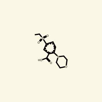 CCS(=O)(=O)c1ccc(N2CCOCC2)c(C(=O)O)c1